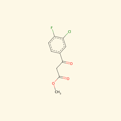 COC(=O)CC(=O)c1ccc(F)c(Cl)c1